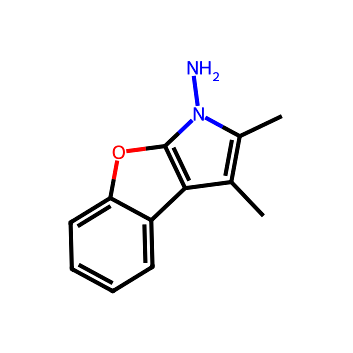 Cc1c(C)n(N)c2oc3ccccc3c12